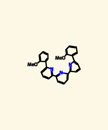 COc1ccccc1-c1cccc(-c2cccc(-c3cccc(-c4ccccc4OC)n3)n2)n1